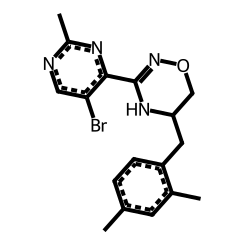 Cc1ccc(CC2CON=C(c3nc(C)ncc3Br)N2)c(C)c1